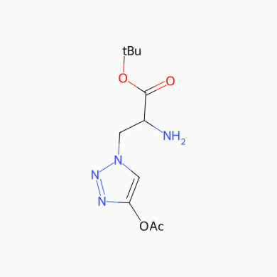 CC(=O)Oc1cn(CC(N)C(=O)OC(C)(C)C)nn1